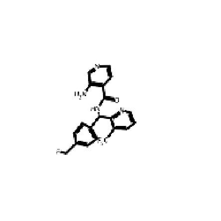 Nc1cnccc1C(=O)N[C@@H](c1ccc(CF)cc1)c1ncccc1C(F)(F)F